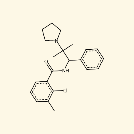 Cc1cccc(C(=O)NC(c2ccccc2)C(C)(C)N2CCCC2)c1Cl